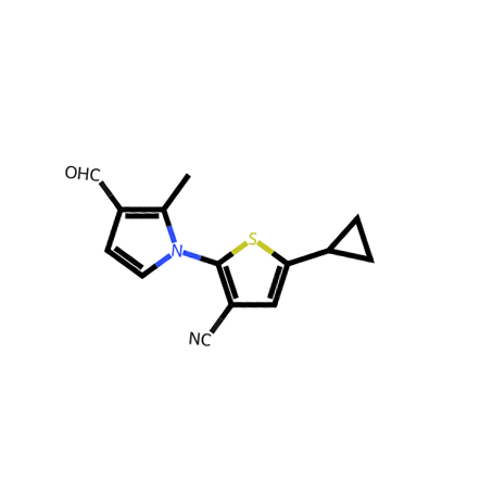 Cc1c(C=O)ccn1-c1sc(C2CC2)cc1C#N